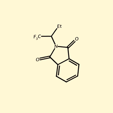 CCC(N1C(=O)c2ccccc2C1=O)C(F)(F)F